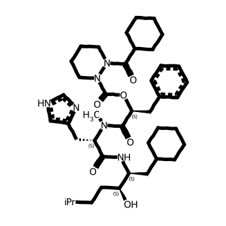 CC(C)CC[C@H](O)[C@H](CC1CCCCC1)NC(=O)[C@H](Cc1c[nH]cn1)N(C)C(=O)[C@H](Cc1ccccc1)OC(=O)N1CCCCN1C(=O)C1CCCCC1